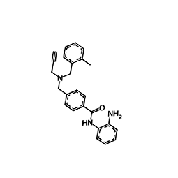 C#CCN(Cc1ccc(C(=O)Nc2ccccc2N)cc1)Cc1ccccc1C